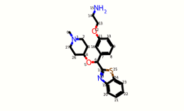 CN1CCC(OC(c2cccc(OCCN)c2)c2nc3ccccc3s2)CC1